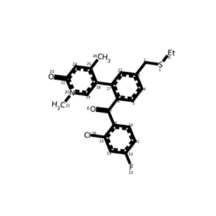 CCSCc1ccc(C(=O)c2ccc(F)cc2Cl)c(-c2cn(C)c(=O)cc2C)c1